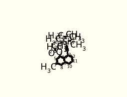 CC(=O)Oc1cc(C)cc2cccc(C#C[Si](C(C)C)(C(C)C)C(C)C)c12